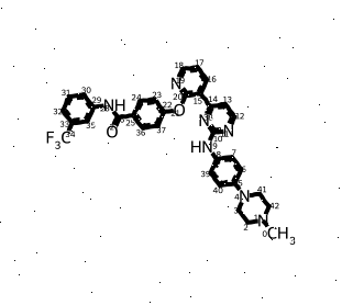 CN1CCN(c2ccc(Nc3nccc(-c4cccnc4Oc4ccc(C(=O)Nc5cccc(C(F)(F)F)c5)cc4)n3)cc2)CC1